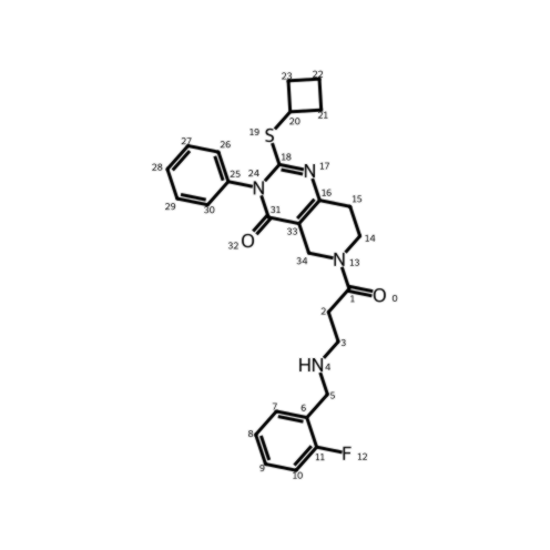 O=C(CCNCc1ccccc1F)N1CCc2nc(SC3CCC3)n(-c3ccccc3)c(=O)c2C1